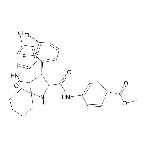 COC(=O)c1ccc(NC(=O)C2NC3(CCCCC3)[C@@]3(C(=O)Nc4cc(Cl)ccc43)[C@H]2c2cccc(Cl)c2F)cc1